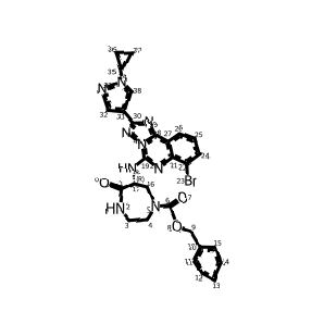 O=C1NCCN(C(=O)OCc2ccccc2)C[C@H]1Nc1nc2c(Br)cccc2c2nc(-c3cnn(C4CC4)c3)nn12